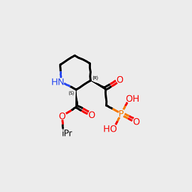 CC(C)OC(=O)[C@H]1NCCC[C@H]1C(=O)CP(=O)(O)O